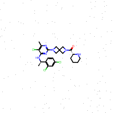 Cc1nc(N2CC3(CN(C(=O)[C@H]4CCCCN4)C3)C2)nc(N[C@H](C)c2ccc(Cl)cc2Cl)c1Cl